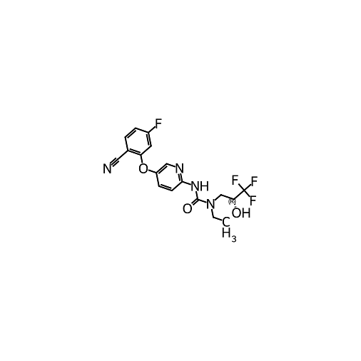 CCN(C[C@@H](O)C(F)(F)F)C(=O)Nc1ccc(Oc2cc(F)ccc2C#N)cn1